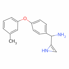 Cc1cccc(Oc2ccc(C(N)C3=CN3)cc2)c1